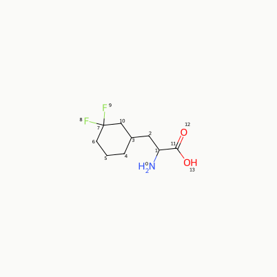 NC(CC1CCCC(F)(F)C1)C(=O)O